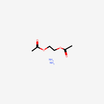 CC(=O)OCCOC(C)=O.N.N